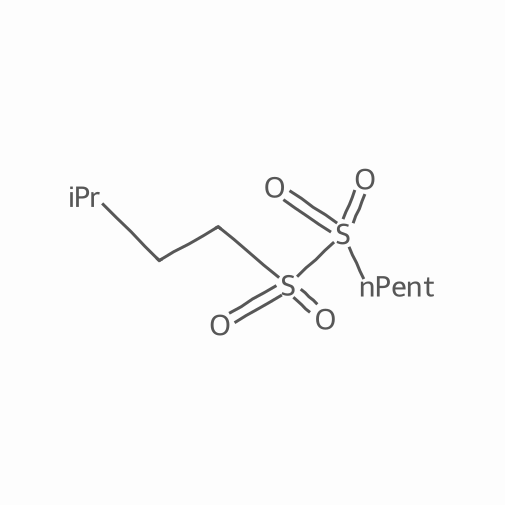 CCCCCS(=O)(=O)S(=O)(=O)CCC(C)C